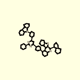 c1ccc(-c2nc(-c3ccc(-c4cccc5nc(-c6cccc7ccccc67)c6sc7ccccc7c6c45)cc3)cc(-c3cccc(-n4c5ccccc5c5ccccc54)c3)n2)cc1